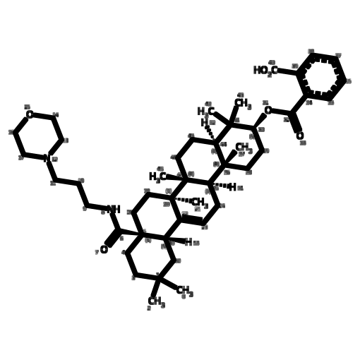 CC1(C)CC[C@]2(C(=O)NCCCN3CCOCC3)CC[C@]3(C)C(=CC[C@@H]4[C@@]5(C)CC[C@H](OC(=O)c6ccccc6C(=O)O)C(C)(C)[C@@H]5CC[C@]43C)[C@@H]2C1